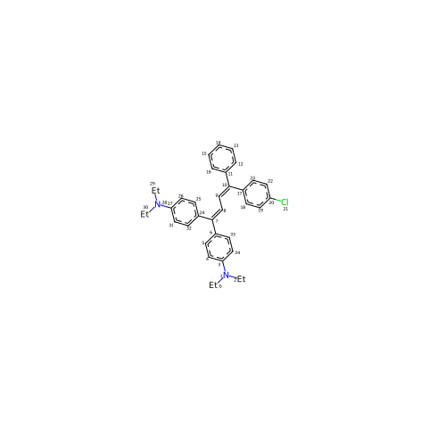 CCN(CC)c1ccc(C(=CC=C(c2ccccc2)c2ccc(Cl)cc2)c2ccc(N(CC)CC)cc2)cc1